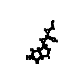 CCOC(=O)ON1CCC2CNCC21